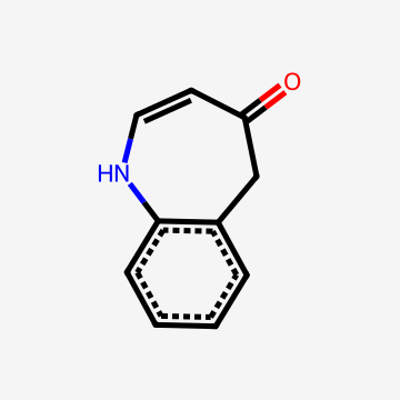 O=C1C=CNc2ccccc2C1